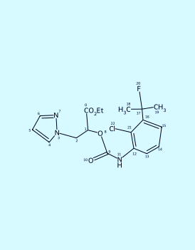 CCOC(=O)C(Cn1cccn1)OC(=O)Nc1cccc(C(C)(C)F)c1Cl